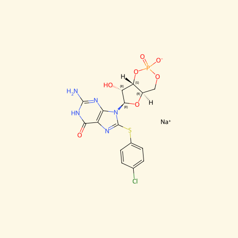 Nc1nc2c(nc(Sc3ccc(Cl)cc3)n2[C@@H]2O[C@@H]3COP(=O)([O-])O[C@H]3[C@H]2O)c(=O)[nH]1.[Na+]